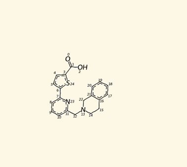 O=C(O)c1ccc(-c2cccc(CN3CCc4ccccc4C3)n2)s1